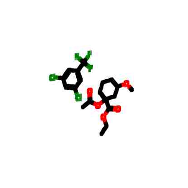 CCOC(=O)C1(OC(C)=O)CCCC(OC)C1.FC(F)(F)c1cc(Cl)cc(Cl)c1